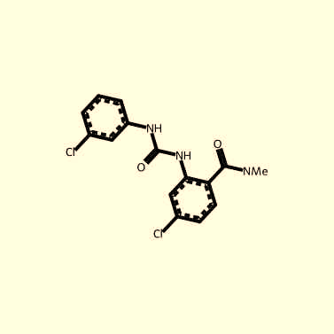 CNC(=O)c1ccc(Cl)cc1NC(=O)Nc1cccc(Cl)c1